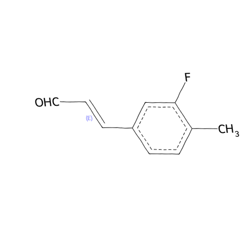 Cc1ccc(/C=C/C=O)cc1F